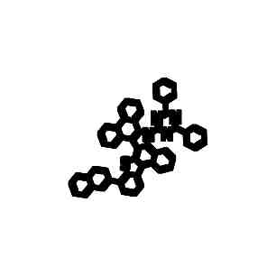 c1ccc(-c2nc(-c3ccccc3)nc(-n3c4c5ccccc5c5ccccc5c4c4c5sc6c(-c7ccc8ccccc8c7)cccc6c5c5ccccc5c43)n2)cc1